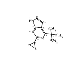 CC(C)(C)c1cc(C2CC2)nc2[nH]ccc12